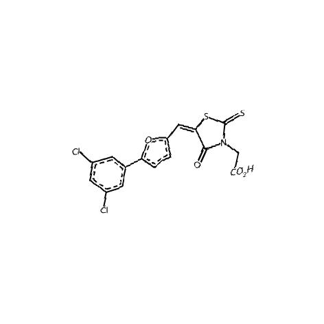 O=C(O)CN1C(=O)/C(=C\c2ccc(-c3cc(Cl)cc(Cl)c3)o2)SC1=S